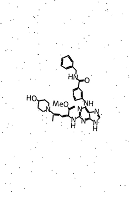 C=C(OC)/C(=C\C=C(/C)N1CCC(O)CC1)Nc1nc(Nc2cccc(C(=O)NCc3ccccc3)c2)c2nc[nH]c2n1